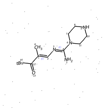 C/C(=C\N=C(/N)N1CCNCC1)C(=O)C(C)(C)C